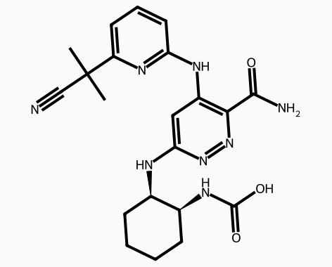 CC(C)(C#N)c1cccc(Nc2cc(N[C@@H]3CCCC[C@@H]3NC(=O)O)nnc2C(N)=O)n1